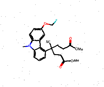 COC(=O)CCC(C#N)(CCC(=O)OC)c1cccc2c1c1cc(OCF)ccc1n2C